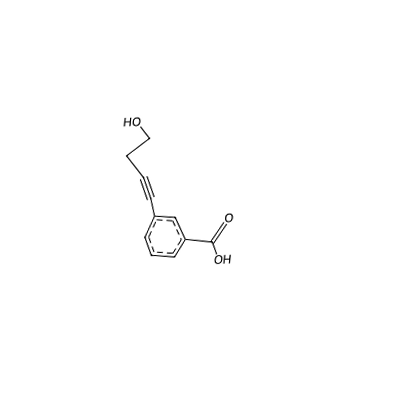 O=C(O)c1cccc(C#CCCO)c1